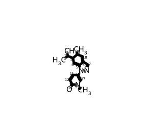 CC(C)C1C=c2c(cnn2-c2ccc(=O)n(C)c2)=CC1C